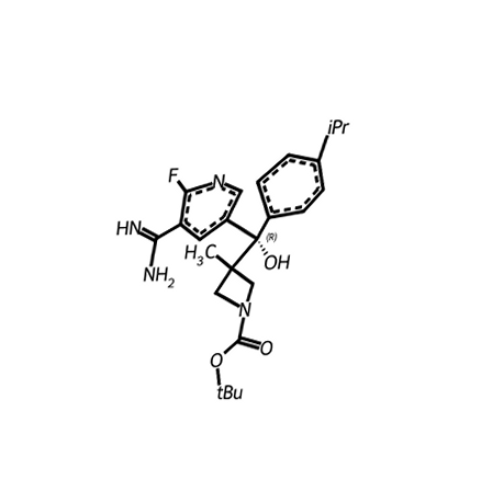 CC(C)c1ccc([C@](O)(c2cnc(F)c(C(=N)N)c2)C2(C)CN(C(=O)OC(C)(C)C)C2)cc1